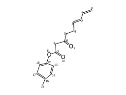 C=CC=CCCC(=O)CC(=O)Oc1ccc(C)cc1